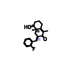 CC1=C2CCC[C@H](O)[C@@]2(C)C/C(=C\c2ccccc2F)C1=O